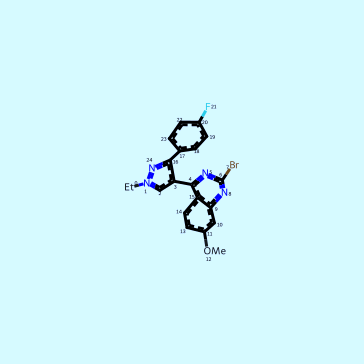 CCn1cc(-c2nc(Br)nc3cc(OC)ccc23)c(-c2ccc(F)cc2)n1